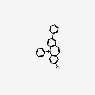 Clc1ccc2c(c1)C=Cc1cc(-c3ccccc3)ccc1N2c1ccccc1